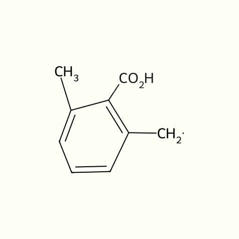 [CH2]c1cccc(C)c1C(=O)O